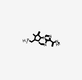 C=C(NI)c1ncn(C2CC(CP)C(C)C2=C)c1/N=C\C